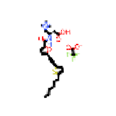 CCCCCCc1ccc(C#Cc2ccc(C(=O)N[C@H](CC(=O)O)C[N+](C)(C)C)o2)s1.O=C([O-])C(F)(F)F